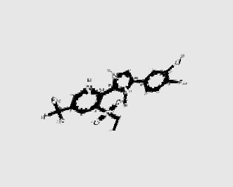 CCS(=O)(=O)c1cc(C(F)(F)F)cnc1-c1ncc(-c2ccc(F)c(Cl)c2)n1C